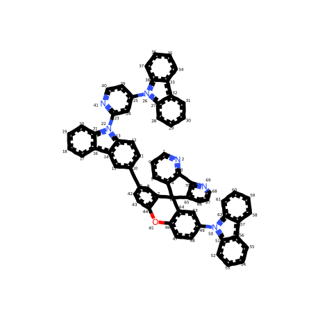 c1cnc2c(c1)C1(c3cc(-c4ccc5c(c4)c4ccccc4n5-c4cc(-n5c6ccccc6c6ccccc65)ccn4)ccc3Oc3ccc(-n4c5ccccc5c5ccccc54)cc31)c1cccnc1-2